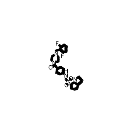 O=C(c1ccc(NCS(=O)(=O)c2cccc3cccnc23)cc1)N1CCN(Cc2c(F)cccc2F)CC1